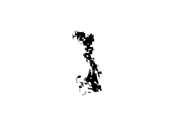 Cn1nc(N2CCC(=O)NC2=O)c2ccc(C3CCN(Cc4cccc(S(=O)(=O)N5CC[C@H](Nc6ncc(C(F)(F)F)c(-c7cnn(CC(F)(F)F)c7)n6)[C@H](F)C5)c4)CC3)cc21